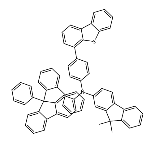 CC1(C)c2ccccc2-c2ccc(N(c3ccc(-c4cccc5c4sc4ccccc45)cc3)c3ccc4c(c3)C(c3ccccc3)(c3ccccc3-c3ccccc3)c3ccccc3-4)cc21